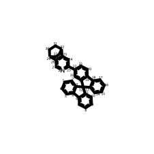 c1ccc2c(c1)-c1ccccc1C21c2ccccc2-c2ccc(-c3cc4c(cn3)C3CCC4CC3)cc21